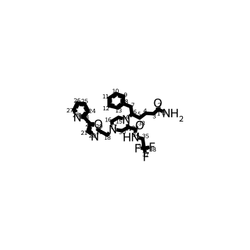 NC(=O)CCCC(Cc1ccccc1)N1CCN(Cc2ncc(-c3ccccn3)o2)CC1C(=O)NCC(F)(F)F